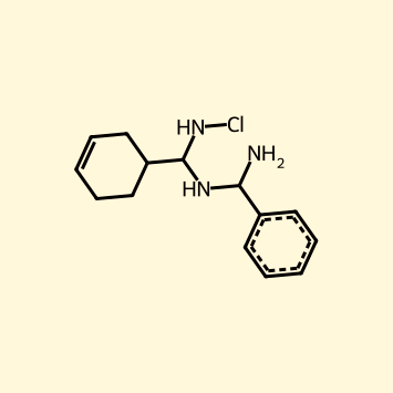 NC(NC(NCl)C1CC=CCC1)c1ccccc1